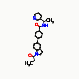 CCC(=O)n1ccc2cc(-c3ccc(C(=O)NC(C)c4cccnc4)cc3)ccc21